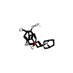 Nc1cc(Cl)c(OC(F)(F)F)cc1C(=O)/C=C/N1C2CCC1CN(Cc1ccc(F)cc1)C2